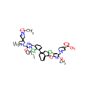 COc1nc(O[C@H]2CCc3c(-c4cccc(-c5cnc(CN(C)CC6(C)CN(C(C)=O)C6)c(OC)n5)c4Cl)cccc32)c(Cl)cc1CN1CC[C@@H](C(=O)O)C1